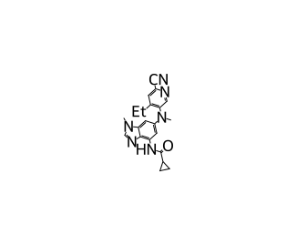 CCc1cc(C#N)ncc1N(C)c1cc(NC(=O)C2CC2)c2ncn(C)c2c1